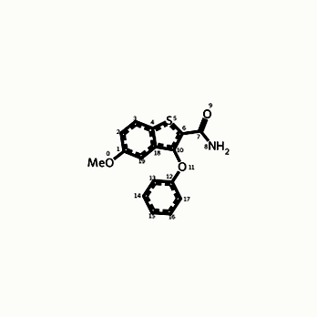 COc1ccc2sc(C(N)=O)c(Oc3ccccc3)c2c1